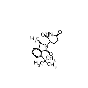 C=C1c2cccc(C(C)(C)C)c2C(=O)N1C1CCC(=O)NC1=O